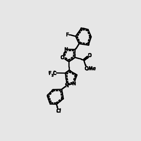 COC(=O)c1c(-c2ccccc2F)noc1-c1cnn(-c2cccc(Cl)c2)c1C(F)(F)F